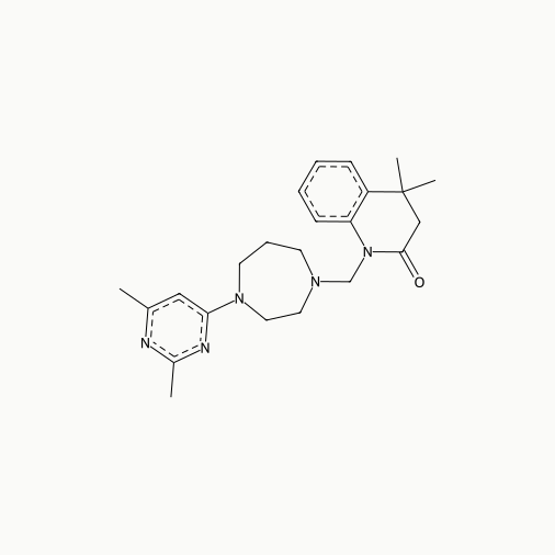 Cc1cc(N2CCCN(CN3C(=O)CC(C)(C)c4ccccc43)CC2)nc(C)n1